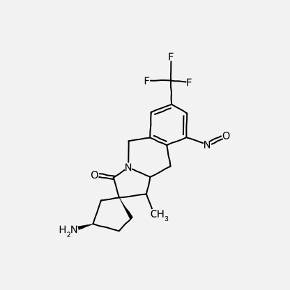 CC1C2Cc3c(cc(C(F)(F)F)cc3N=O)CN2C(=O)[C@]12CC[C@@H](N)C2